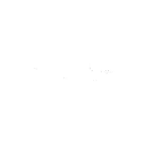 COC(=O)NC1CCC(OCCCCBr)CC1